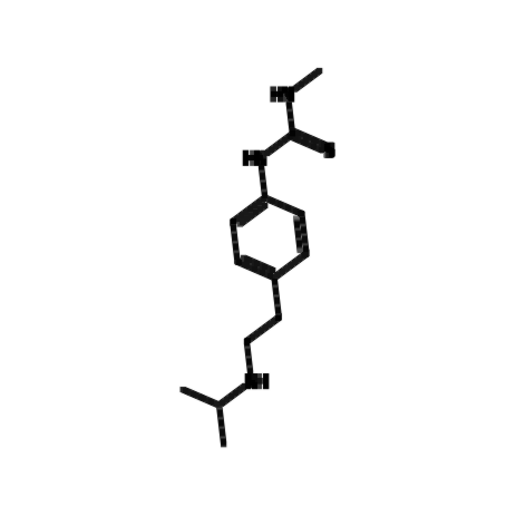 CNC(=S)Nc1ccc(CCNC(C)C)cc1